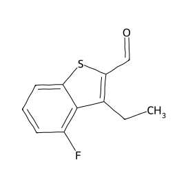 CCc1c(C=O)sc2cccc(F)c12